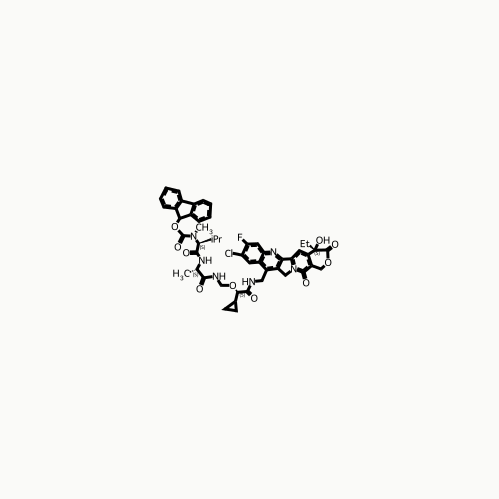 CC[C@@]1(O)C(=O)OCc2c1cc1n(c2=O)Cc2c-1nc1cc(F)c(Cl)cc1c2CNC(=O)[C@@H](OCNC(=O)[C@H](C)NC(=O)[C@H](C(C)C)N(C)C(=O)OC1c2ccccc2-c2ccccc21)C1CC1